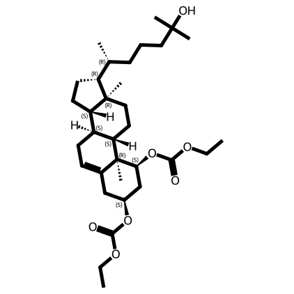 CCOC(=O)O[C@H]1CC2=CC[C@H]3[C@@H]4CC[C@H]([C@H](C)CCCC(C)(C)O)[C@@]4(C)CC[C@@H]3[C@@]2(C)[C@@H](OC(=O)OCC)C1